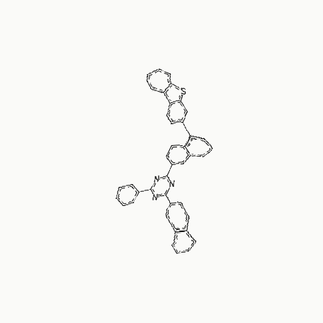 c1ccc(-c2nc(-c3ccc4ccccc4c3)nc(-c3ccc4c(-c5ccc6c(c5)sc5ccccc56)cccc4c3)n2)cc1